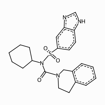 O=C(N1CCc2ccccc2C1)N(C1CCCCC1)S(=O)(=O)c1ccc2[nH]cnc2c1